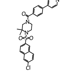 CC1(C)CN(C(=O)c2ccc(-c3ccncc3)cc2)CCN1S(=O)(=O)c1ccc2cc(Cl)ccc2c1